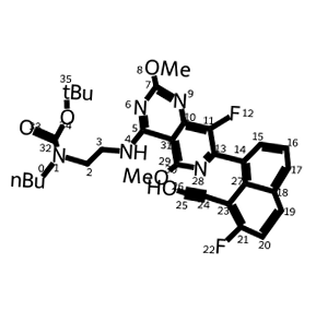 CCCCN(CCNc1nc(OC)nc2c(F)c(-c3cccc4ccc(F)c(C#CO)c34)nc(OC)c12)C(=O)OC(C)(C)C